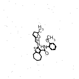 COc1ccccc1NC(=O)c1c(NCC2=CCC(C)O2)sc2c1CCCCC2